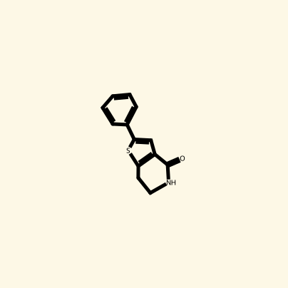 O=C1NCCc2sc(-c3ccccc3)cc21